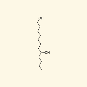 CCCCC(O)CCCCCCCO